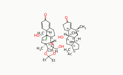 CC(=O)[C@H]1CC[C@H]2[C@@H]3C[C@H](C)C4=CC(=O)CC[C@]4(C)[C@H]3[C@@H](O)C[C@]12C.CCC1(CC)O[C@@H]2C[C@H]3[C@@H]4CCC5=CC(=O)C=C[C@]5(C)[C@@]4(F)[C@@H](O)C[C@]3(C)[C@]2(C(=O)CO)O1